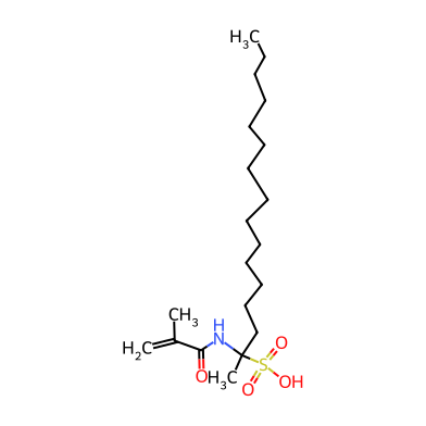 C=C(C)C(=O)NC(C)(CCCCCCCCCCCCCC)S(=O)(=O)O